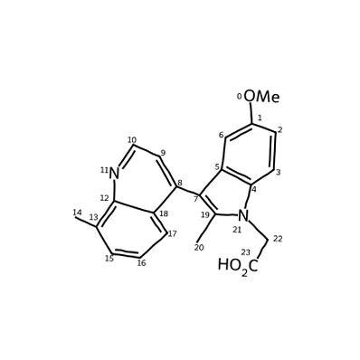 COc1ccc2c(c1)c(-c1ccnc3c(C)cccc13)c(C)n2CC(=O)O